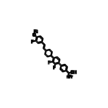 CCCC(O)c1ccc(-c2ccc(C3CCC(/C=C/c4ccc(OCC)c(F)c4)CC3)c(F)c2F)cc1